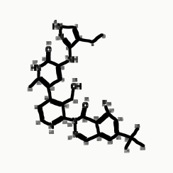 CCc1c[nH]nc1Nc1cc(-c2ccnc(-n3ncc4cc(C(C)(C)C)cc(F)c4c3=O)c2CO)c(C)[nH]c1=O